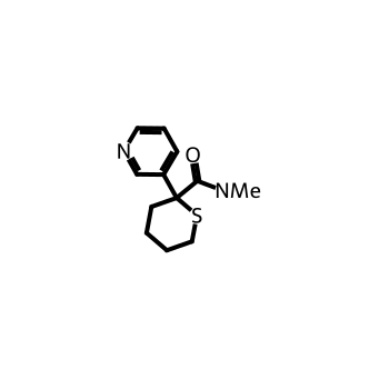 CNC(=O)C1(c2cccnc2)CCCCS1